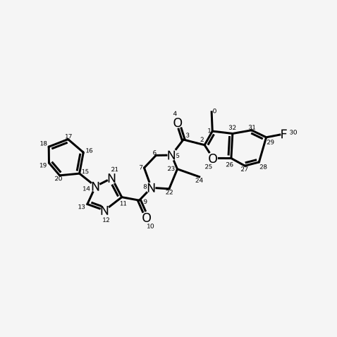 Cc1c(C(=O)N2CCN(C(=O)c3ncn(-c4ccccc4)n3)CC2C)oc2ccc(F)cc12